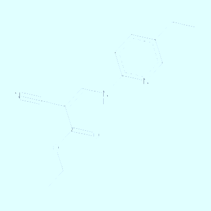 CCOC(=O)C(C#N)=CNc1ccc(CC)cn1